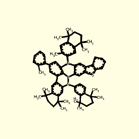 Cc1ccccc1-c1cc2c3c(c1)N(c1cc4c(cc1C)C(C)(C)CCC4(C)C)c1cc4c(cc1B3N(c1ccc3c(c1)C(C)(C)CCC3(C)C)c1cc3c(cc1-2)C(C)(C)CCC3(C)C)sc1ccccc14